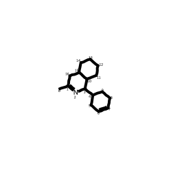 CC1=NC(C2CC=CCC2)C2CCCCC2C1